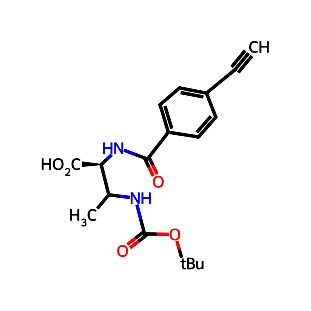 C#Cc1ccc(C(=O)N[C@H](C(=O)O)C(C)NC(=O)OC(C)(C)C)cc1